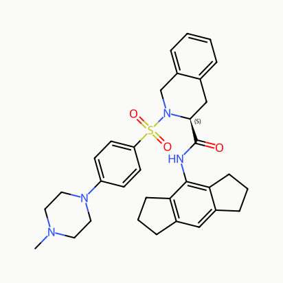 CN1CCN(c2ccc(S(=O)(=O)N3Cc4ccccc4C[C@H]3C(=O)Nc3c4c(cc5c3CCC5)CCC4)cc2)CC1